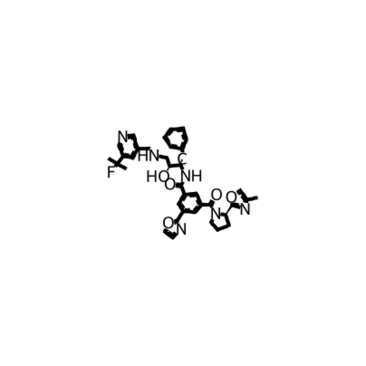 Cc1coc([C@H]2CCCN2C(=O)c2cc(C(=O)N[C@@H](Cc3ccccc3)[C@H](O)CNCc3cncc(C(C)(C)F)c3)cc(-c3ncco3)c2)n1